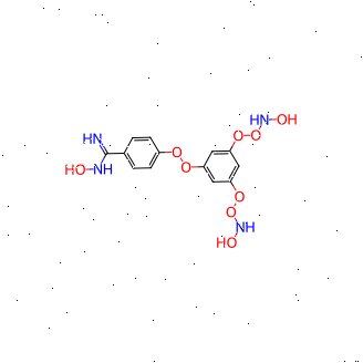 N=C(NO)c1ccc(OOc2cc(OONO)cc(OONO)c2)cc1